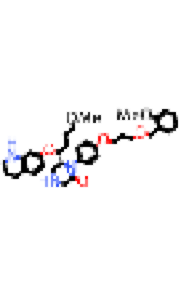 COCCCC(Oc1ccc2c(c1)NCCC2)[C@H]1CNCC(=O)N1c1ccc(OCCCOCc2ccccc2OC)cc1